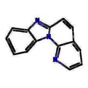 c1cnc2c(c1)ccc1nc3ccccc3n12